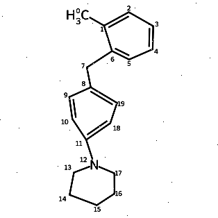 Cc1ccccc1Cc1ccc(N2CCCCC2)cc1